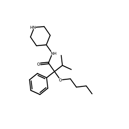 CCCCOC(C(=O)NC1CCNCC1)(c1ccccc1)C(C)C